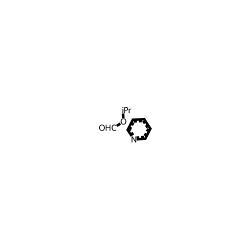 CC(C)OC=O.c1ccncc1